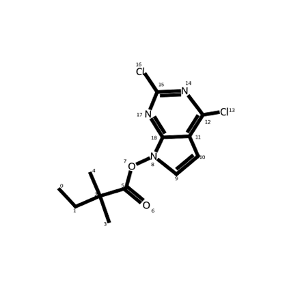 CCC(C)(C)C(=O)On1ccc2c(Cl)nc(Cl)nc21